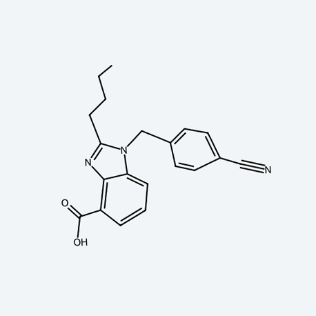 CCCCc1nc2c(C(=O)O)cccc2n1Cc1ccc(C#N)cc1